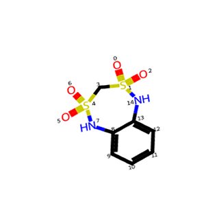 O=S1(=O)CS(=O)(=O)Nc2ccccc2N1